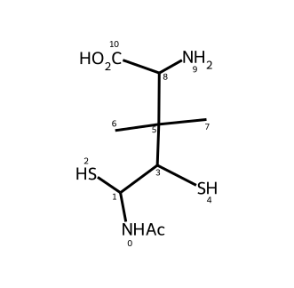 CC(=O)NC(S)C(S)C(C)(C)C(N)C(=O)O